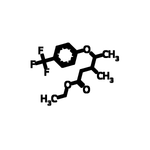 CCOC(=O)CC(C)C(C)Oc1ccc(C(F)(F)F)cc1